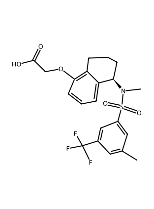 Cc1cc(C(F)(F)F)cc(S(=O)(=O)N(C)[C@@H]2CCCc3c(OCC(=O)O)cccc32)c1